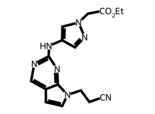 CCOC(=O)Cn1cc(Nc2ncc3ccn(CCC#N)c3n2)cn1